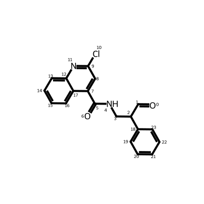 O=CC(CNC(=O)c1cc(Cl)nc2ccccc12)c1ccccc1